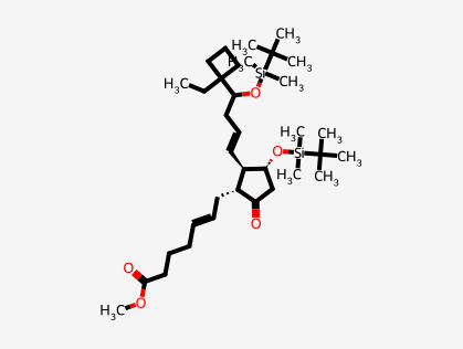 CCC1(C(C/C=C/[C@H]2[C@H](O[Si](C)(C)C(C)(C)C)CC(=O)[C@@H]2C/C=C/CCCC(=O)OC)O[Si](C)(C)C(C)(C)C)CCC1